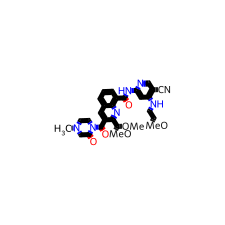 COCCNc1cc(NC(=O)c2cccc3cc(C(=O)N4CCN(C)CC4=O)c(C(OC)OC)nc23)ncc1C#N